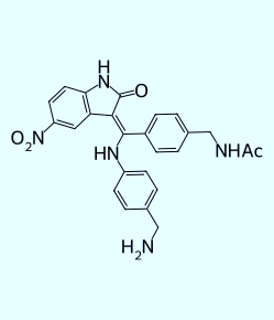 CC(=O)NCc1ccc(C(Nc2ccc(CN)cc2)=C2C(=O)Nc3ccc([N+](=O)[O-])cc32)cc1